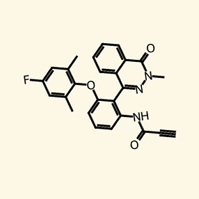 C#CC(=O)Nc1cccc(Oc2c(C)cc(F)cc2C)c1-c1nn(C)c(=O)c2ccccc12